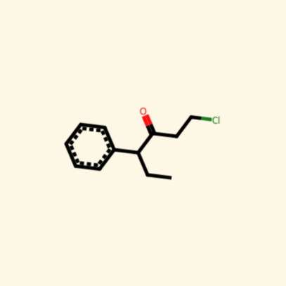 CCC(C(=O)CCCl)c1ccccc1